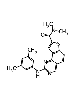 Cc1cc(C)cc(Nc2ncc3ccc4sc(C(=O)N(C)C)cc4c3n2)c1